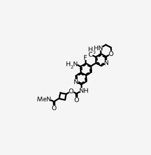 CNC(=O)C1CC(OC(=O)Nc2cc3cc(-c4cnc5c(c4C)NCCO5)c(F)c(N)c3cn2)C1